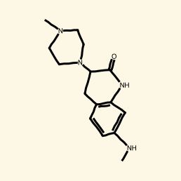 CNc1ccc2c(c1)NC(=O)C(N1CCN(C)CC1)C2